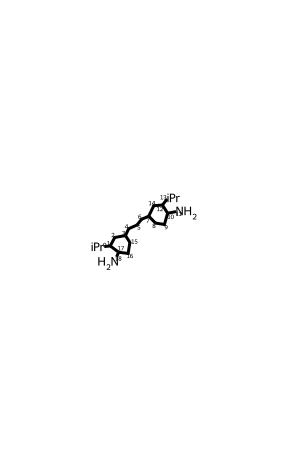 CC(C)C1CC(CCCC2CCC(N)C(C(C)C)C2)CCC1N